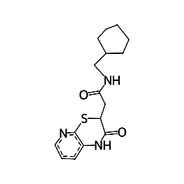 O=C(CC1Sc2ncccc2NC1=O)NCC1CCCCC1